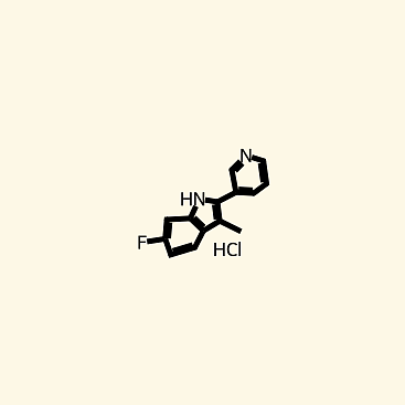 Cc1c(-c2cccnc2)[nH]c2cc(F)ccc12.Cl